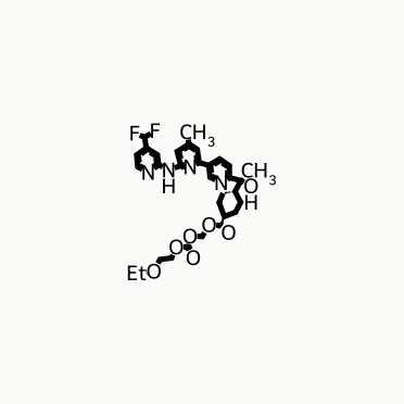 CCOCCOC(=O)OCOC(=O)[C@H]1CC[C@H]([C@@](C)(O)c2ccc(-c3cc(C)cc(Nc4cc(C(F)F)ccn4)n3)cn2)CC1